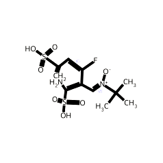 C=C(/C=C(/F)C(/C=[N+](\[O-])C(C)(C)C)=C(N)S(=O)(=O)O)S(=O)(=O)O